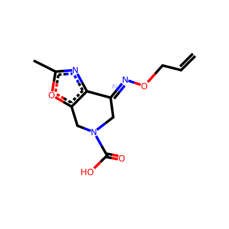 C=CCO/N=C1\CN(C(=O)O)Cc2oc(C)nc21